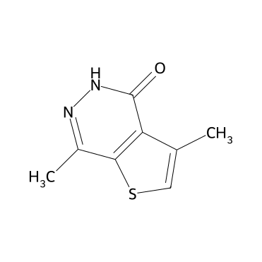 Cc1n[nH]c(=O)c2c(C)csc12